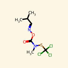 CC(C)/C=N/OC(=O)N(C)SC(Cl)(Cl)Cl